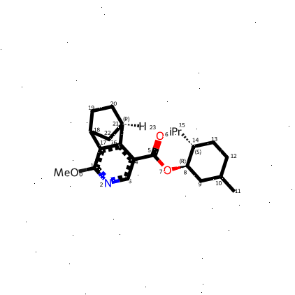 COc1ncc(C(=O)O[C@@H]2CC(C)CC[C@H]2C(C)C)c2c1C1CC[C@@H]2C1